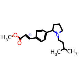 COC(=O)/C=C/c1ccc(C2CCCN2CCC(C)C)cc1